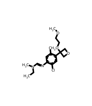 CCN(C)C=Nc1cc(C)c(C2(OCCOC)COC2)cc1Cl